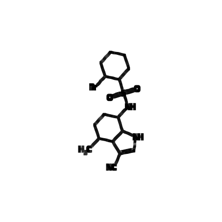 CC1CCC(NS(=O)(=O)C2CCCCC2Br)C2NC=C(C#N)C12